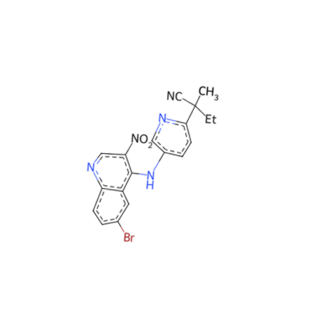 CCC(C)(C#N)c1ccc(Nc2c([N+](=O)[O-])cnc3ccc(Br)cc23)cn1